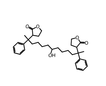 CC(CCCCC(O)CCCCC(C)(c1ccccc1)C1CCOC1=O)(c1ccccc1)C1CCOC1=O